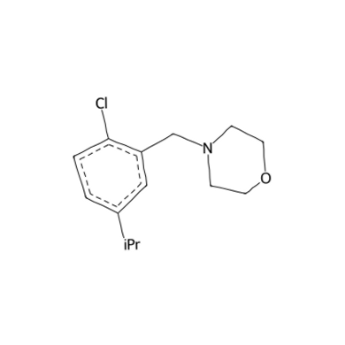 CC(C)c1ccc(Cl)c(CN2CCOCC2)c1